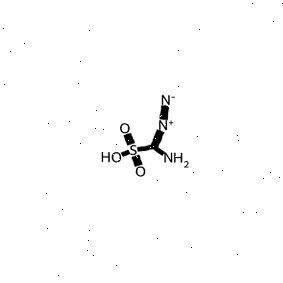 [N-]=[N+]=C(N)S(=O)(=O)O